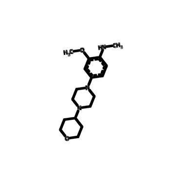 CNc1ccc(N2CCN(C3CCOCC3)CC2)cc1OC